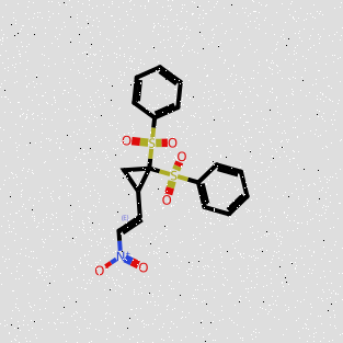 O=[N+]([O-])/C=C/C1CC1(S(=O)(=O)c1ccccc1)S(=O)(=O)c1ccccc1